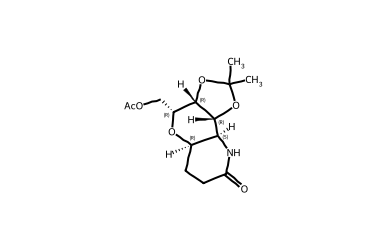 CC(=O)OC[C@H]1O[C@@H]2CCC(=O)N[C@@H]2[C@H]2OC(C)(C)O[C@H]21